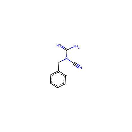 N#CN(Cc1[c]cccc1)C(=N)N